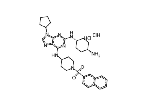 Cl.Cl.N[C@H]1CC[C@H](Nc2nc(NC3CCN(S(=O)(=O)c4ccc5ccccc5c4)CC3)c3ncn(C4CCCC4)c3n2)CC1